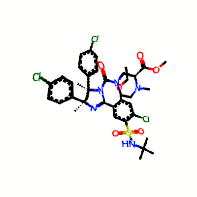 CCOc1cc(Cl)c(S(=O)(=O)NC(C)(C)C)cc1C1=N[C@@](C)(c2ccc(Cl)cc2)[C@@](C)(c2ccc(Cl)cc2)N1C(=O)N1CCN(C)[C@H](C(=O)OC)C1